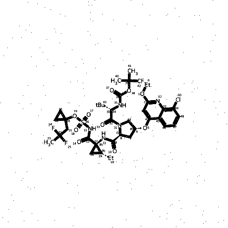 CCOc1cc(O[C@@H]2C[C@@H](C(=O)N[C@]3(C(=O)NS(=O)(=O)OC4(CC(C)(F)F)CC4)C[C@H]3CC)N(C(=O)[C@@H](NC(=O)OC(C)(C)C(F)(F)F)C(C)(C)C)C2)c2cccc(Cl)c2n1